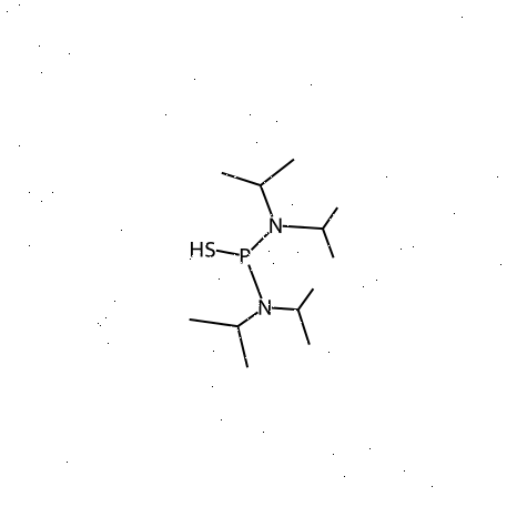 CC(C)N(C(C)C)P(S)N(C(C)C)C(C)C